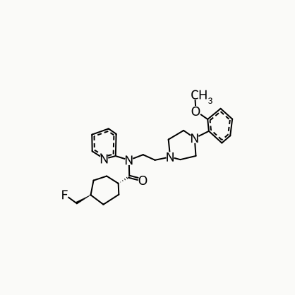 COc1ccccc1N1CCN(CCN(c2ccccn2)C(=O)[C@H]2CC[C@H](CF)CC2)CC1